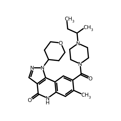 CCC(C)N1CCN(C(=O)c2cc3c(cc2C)[nH]c(=O)c2cnn(C4CCOCC4)c23)CC1